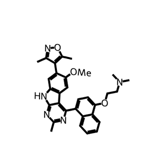 COc1cc2c(cc1-c1c(C)noc1C)[nH]c1nc(C)nc(-c3ccc(OCCN(C)C)c4ccccc34)c12